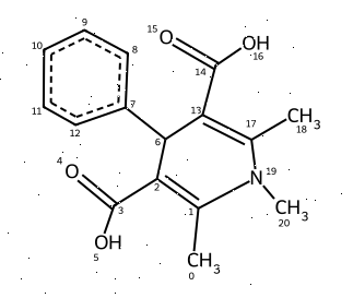 CC1=C(C(=O)O)C(c2ccccc2)C(C(=O)O)=C(C)N1C